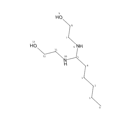 CCCCCC(NCCO)NCCO